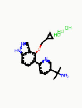 CC(C)(N)c1ccc(-c2ccc3[nH]ncc3c2OCC2CC2)nc1.Cl.Cl.Cl